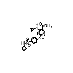 NC(=O)c1cnc(Nc2ccc(S(=O)(=O)NC3CCC3)cc2)nc1NC1CC1